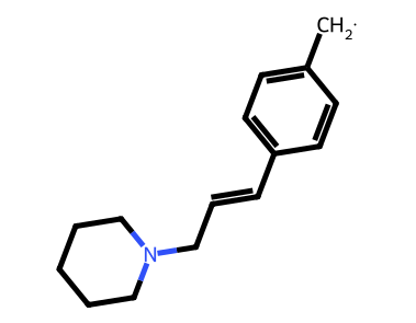 [CH2]c1ccc(C=CCN2CCCCC2)cc1